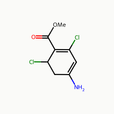 COC(=O)C1=C(Cl)C=C(N)CC1Cl